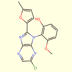 COc1cccc(O)c1-n1c(-c2ccc(C)o2)nc2ncc(Cl)nc21